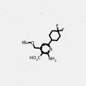 CC(C)(C)OCc1cc(C2CCC(F)(F)CC2)nc(N)c1C(=O)O